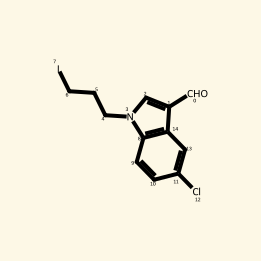 O=Cc1cn(CCCI)c2ccc(Cl)cc12